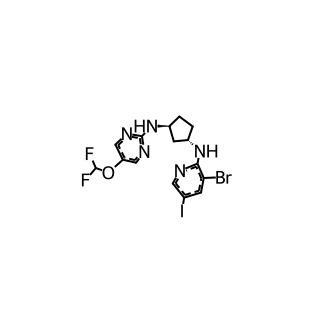 FC(F)Oc1cnc(N[C@H]2CC[C@H](Nc3ncc(I)cc3Br)C2)nc1